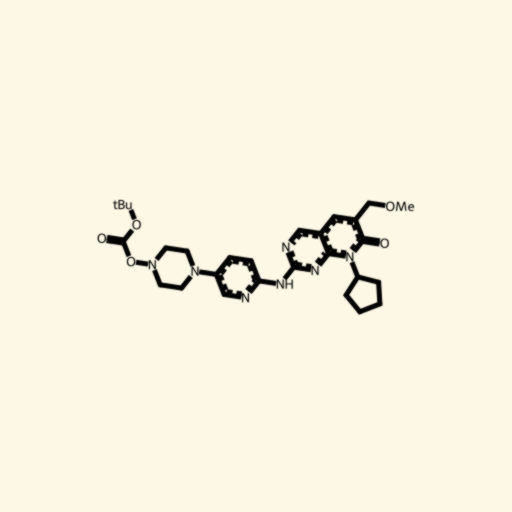 COCc1cc2cnc(Nc3ccc(N4CCN(OC(=O)OC(C)(C)C)CC4)cn3)nc2n(C2CCCC2)c1=O